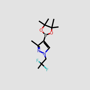 Cc1nn(CC(C)(F)F)cc1B1OC(C)(C)C(C)(C)O1